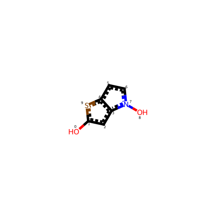 Oc1cc2c(ccn2O)s1